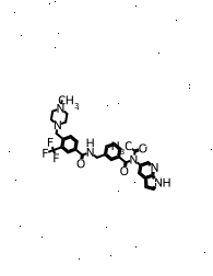 CC(=O)N(C(=O)c1cccc(CNC(=O)c2ccc(CN3CCN(C)CC3)c(C(F)(F)F)c2)c1)c1cnc2[nH]ccc2c1